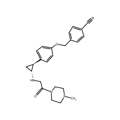 CN1CCN(C(=O)CN[C@@H]2C[C@H]2c2ccc(OCc3ccc(C#N)cc3)cc2)CC1